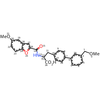 COCc1cccc(-c2ccc(C[C@H](NC(=O)c3cc4cc(OC)ccc4o3)C(=O)O)cc2)c1